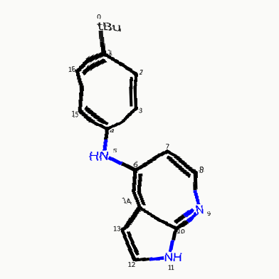 CC(C)(C)c1ccc(Nc2ccnc3[nH]ccc23)cc1